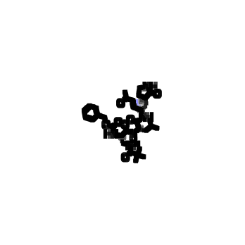 CC(=O)/C=C/[C@H](C[C@@H]1CCNC1=O)NC(=O)[C@H](CC(C)C)NC(=O)[C@H](CNC(=O)C(C)(C)C)NC(=O)OCc1ccccc1